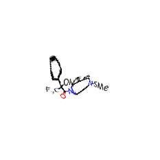 COC(C(=O)N1CCN(SC)CC1)(c1ccccc1)C(F)(F)F